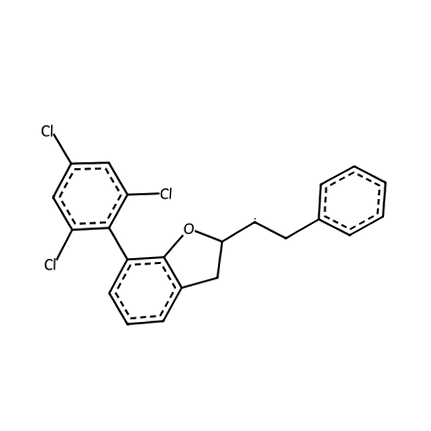 Clc1cc(Cl)c(-c2cccc3c2OC([CH]Cc2ccccc2)C3)c(Cl)c1